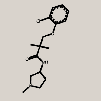 CN1CCC(NC(=O)C(C)(C)COc2ccccc2Cl)C1